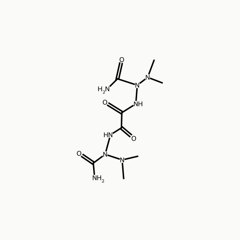 CN(C)N(NC(=O)C(=O)NN(C(N)=O)N(C)C)C(N)=O